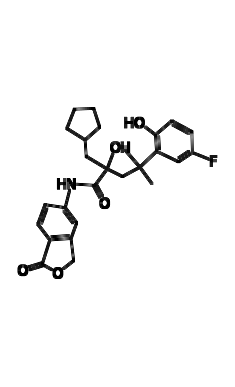 CC(C)(CC(O)(CC1CCCC1)C(=O)Nc1ccc2c(c1)COC2=O)c1cc(F)ccc1O